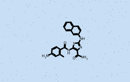 Cc1cc(N)ccc1C(=O)Nc1sc(Nc2ccc3ccccc3c2)nc1C(N)=O